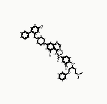 CN(C)CCC(CSc1ccccc1)Nc1ccc(S(=O)(=O)Nc2ncnc3cc(N4CCN(Cc5cc(Cl)ccc5-c5ccccc5)CC4)cc(F)c23)cc1C(F)(F)F